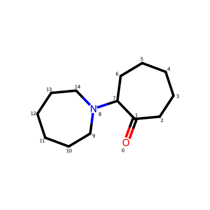 O=C1CCCCCC1N1CCCCCC1